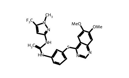 C=C(Nc1cccc(Sc2ncnc3cc(OC)c(OC)cc23)c1)Nc1cc(C(F)(F)F)n(C)n1